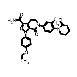 CCOc1ccc(-n2nc(C(N)=O)c3c2C(=O)N(c2ccc(N4CCCCC4=O)c(C)c2)CC3)cc1